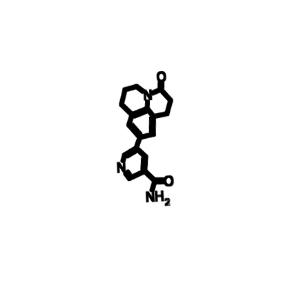 NC(=O)c1cncc(-c2cc3c4c(c2)CCC(=O)N4CCC3)c1